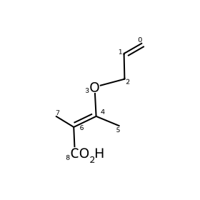 C=CCO/C(C)=C(\C)C(=O)O